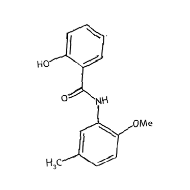 COc1ccc(C)cc1NC(=O)c1c[c]ccc1O